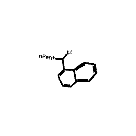 [CH2]CCCCC(CC)c1cccc2ccccc12